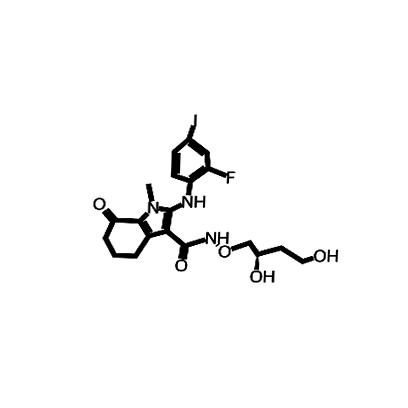 Cn1c(Nc2ccc(I)cc2F)c(C(=O)NOC[C@H](O)CCO)c2c1C(=O)CCC2